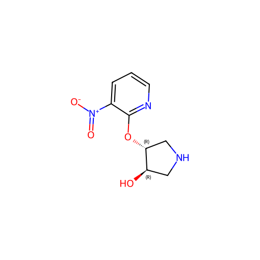 O=[N+]([O-])c1cccnc1O[C@@H]1CNC[C@H]1O